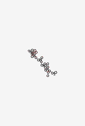 c1ccc(-c2cccc(-c3ccccc3N(c3ccc(-c4ccc5c6cc(-c7cccc8c7c7cccc9c7n8-c7ccccc7C97c8ccccc8-c8ccc(N(c9ccc(-c%10ccc%11sc%12ccccc%12c%11c%10)cc9)c9ccccc9-c9cccc(-c%10ccccc%10)c9)cc87)ccc6n(-c6ccccc6)c5c4)cc3)c3ccc4c(c3)C3(c5ccccc5-4)c4ccccc4-n4c5ccccc5c5cccc3c54)c2)cc1